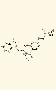 O=C(C=Cc1ccc([C@@H]2CCCN2CCc2cnn3ccccc23)c(Cl)c1)NO